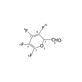 O=[C]C1OC(F)=C(F)C(F)=C1F